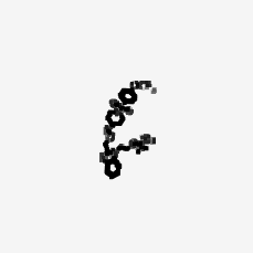 CC(C)(C)[Si](C)(C)OCCn1c(CON=C2CCN(S(=O)(=O)c3ccc(OC(F)(F)F)cc3)CC2)nc2ccccc21